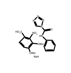 COc1ccc(S(=O)(=O)O)c([N+](=O)[O-])c1OC.O=C(Nc1ccccc1)n1cnnn1.[NaH]